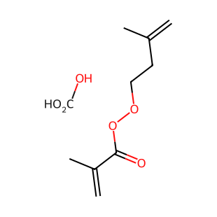 C=C(C)CCOOC(=O)C(=C)C.O=C(O)O